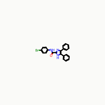 O=C(Nc1ccc(Br)cc1)c1nc(-c2ccccc2)c(-c2ccccc2)[nH]1